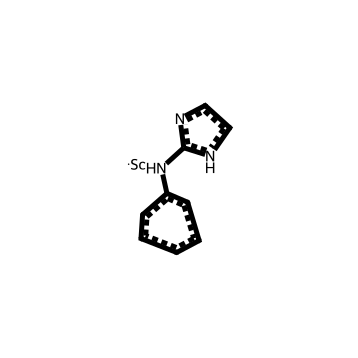 [Sc].c1ccc(Nc2ncc[nH]2)cc1